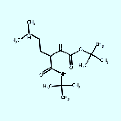 C[SH](C)CCC(NC(=O)OC(C)(C)C)C(=O)NC(C)(C)C